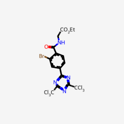 CCOC(=O)CNC(=O)c1ccc(-c2nc(C(Cl)(Cl)Cl)nc(C(Cl)(Cl)Cl)n2)cc1Br